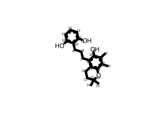 Cc1c(C)c2c(c(CCCc3c(O)cccc3O)c1O)CCC(C)(C)O2